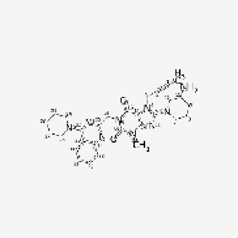 CC#CCn1c(N2CCCC(N)C2)nc2c1c(=O)n(Cc1nc(N3CCCCC3)c3ccccc3n1)c(=O)n2C